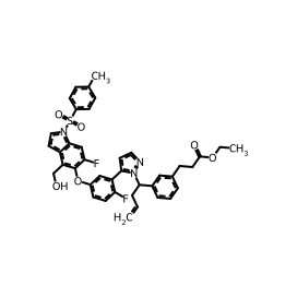 C=CCC(c1cccc(CCC(=O)OCC)c1)n1nccc1-c1cc(Oc2c(F)cc3c(ccn3S(=O)(=O)c3ccc(C)cc3)c2CO)ccc1F